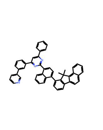 CC1(C)c2c(cccc2-c2ccc(-c3nc(-c4ccccc4)cc(-c4cccc(-c5cccnc5)c4)n3)c3ccccc23)-c2ccc3ccccc3c21